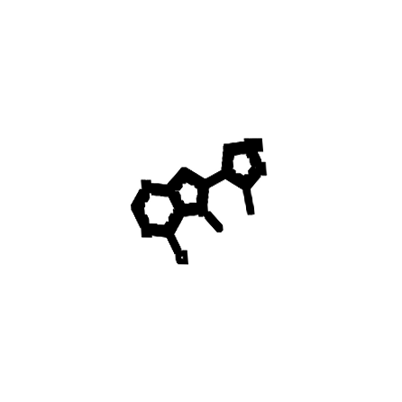 Cc1n[nH]cc1-c1cc2ncnc(Cl)c2n1C